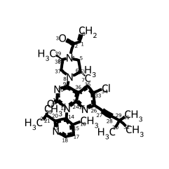 C=CC(=O)N1C[C@H](C)N(c2nc(=O)n(-c3c(C)ccnc3C(C)C)c3nc(C#CC(C)(C)C)c(Cl)cc23)C[C@H]1C